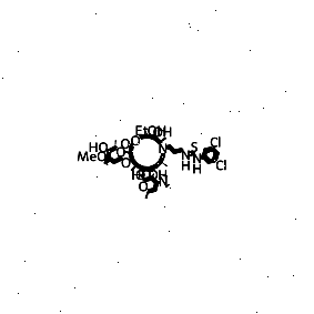 CC[C@H]1OC(=O)[C@H](C)[C@@H](O[C@H]2C[C@@](C)(OC)[C@@H](O)[C@H](C)O2)[C@H](C)[C@@H](O[C@@H]2O[C@H](C)C[C@H](N(C)C)[C@H]2O)[C@](C)(O)C[C@@H](C)CN(CCCNC(=S)Nc2cc(Cl)cc(Cl)c2)[C@H](C)[C@@H](O)[C@]1(C)O